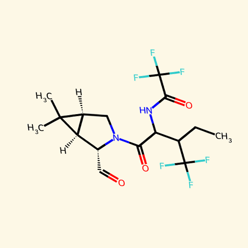 CCC(C(NC(=O)C(F)(F)F)C(=O)N1C[C@H]2[C@@H]([C@H]1C=O)C2(C)C)C(F)(F)F